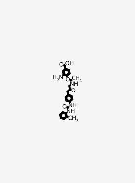 Cc1ccccc1NC(=O)Nc1ccc(CC(=O)CNC(C)Oc2ccc(C(=O)O)cc2N)cc1